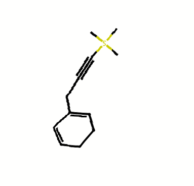 CS(C)(C)C#CCC1=CCCC=C1